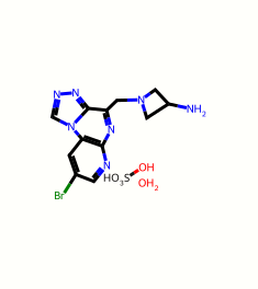 NC1CN(Cc2nc3ncc(Br)cc3n3cnnc23)C1.O.O=S(=O)(O)O